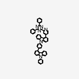 c1ccc(-c2nc(-c3ccccc3)nc(-c3cc(-c4cccc5c4c4ccccc4n5-c4ccc(-c5cccc6c5c5ccccc5n6-c5ccccc5)cc4)ccn3)n2)cc1